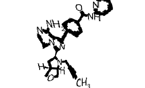 CC#CCN1[C@@H]2COC[C@@H]2C[C@H]1c1nc(-c2ccc(C(=O)Nc3ccccn3)cc2)c2c(N)nccn12